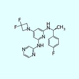 C[C@H](Nc1cc(N2CC(F)(F)C2)cc(Nc2cnccn2)n1)c1ccc(F)cc1